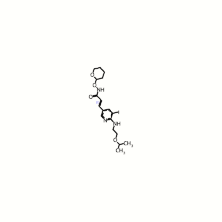 CC(C)OCCNc1ncc(/C=C/C(=O)NOC2CCCCO2)cc1I